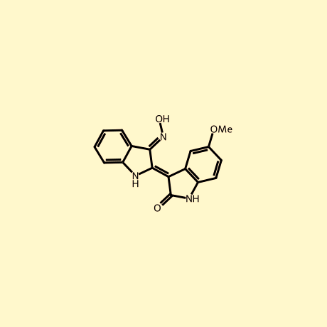 COc1ccc2c(c1)/C(=C1/Nc3ccccc3/C1=N\O)C(=O)N2